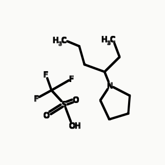 CCCC(CC)N1CCCC1.O=S(=O)(O)C(F)(F)F